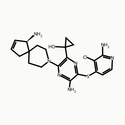 Nc1nc(N2CCC3(CC=C[C@H]3N)CC2)c(C2(O)CC2)nc1Sc1ccnc(N)c1Cl